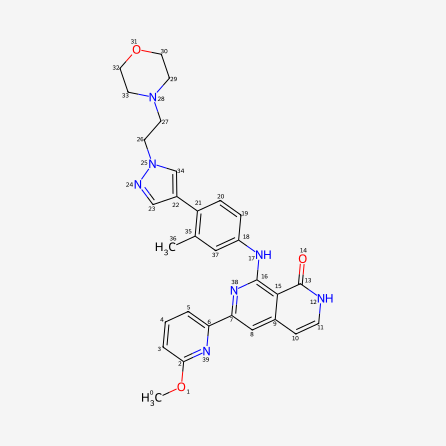 COc1cccc(-c2cc3cc[nH]c(=O)c3c(Nc3ccc(-c4cnn(CCN5CCOCC5)c4)c(C)c3)n2)n1